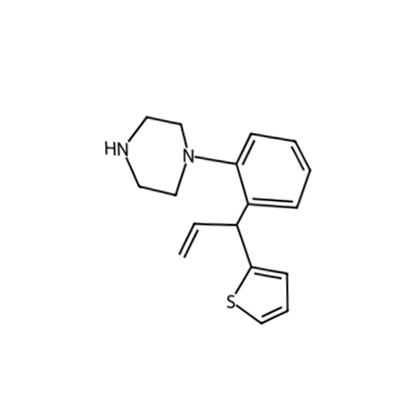 C=CC(c1cccs1)c1ccccc1N1CCNCC1